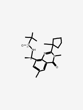 Cc1cc([C@@H](C)N[S@+]([O-])C(C)(C)C)c2nc(C3(C)CCCC3)n(C)c(=O)c2c1